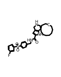 O=C(NCc1ccc(S(=O)(=O)c2cccc(F)c2)cc1)c1cc2c([nH]1)C1(CCCCCCCCCC1)CNC2